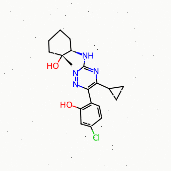 C[C@@]1(O)CCCC[C@H]1Nc1nnc(-c2ccc(Cl)cc2O)c(C2CC2)n1